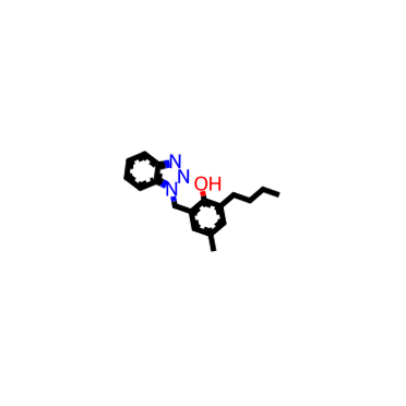 CCCCc1cc(C)cc(Cn2nnc3ccccc32)c1O